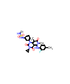 CCNS(=O)(=O)Nc1cccc(-n2c(=O)n(C3CC3)c(=O)c3c(Nc4ccc(C)cc4F)n(C)c(=O)c(C)c32)c1